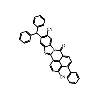 N#Cc1cc2c(cc1C(c1ccccc1)c1ccccc1)nc1c3ccc(C#N)c4c(-c5ccccc5)ccc(c(=O)n21)c43